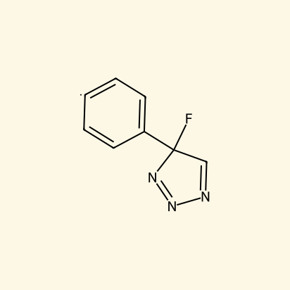 FC1(c2cc[c]cc2)C=NN=N1